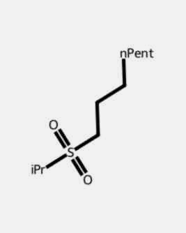 [CH2]CCCCCCCS(=O)(=O)C(C)C